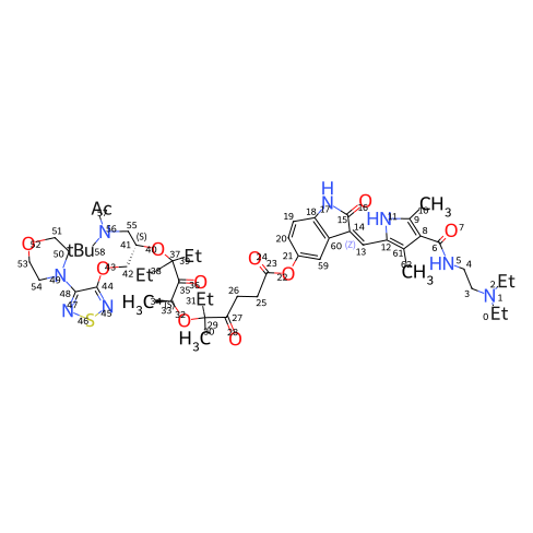 CCN(CC)CCNC(=O)c1c(C)[nH]c(/C=C2\C(=O)Nc3ccc(OC(=O)CCC(=O)C(C)(CC)O[C@@H](C)C(=O)C(CC)(CC)O[C@H](COc4nsnc4N4CCOCC4)CN(C(C)=O)C(C)(C)C)cc32)c1C